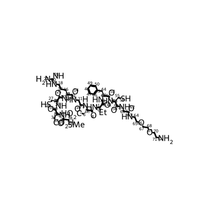 CC[C@H](NC(=O)[C@H](CC(=O)O)NC(=O)CNC(=O)[C@H](CCCNC(=N)N)NC(=O)[C@H](CS)NC(=O)[C@H](CC(=O)O)NC(=O)CSC)C(=O)N[C@@H](Cc1ccccc1)C(=O)N[C@@H](CS)C(=O)NCC(=O)NCCOCCOCCN